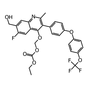 CCOC(=O)OCOc1c(-c2ccc(Oc3ccc(OC(F)(F)F)cc3)cc2)c(C)nc2cc(CO)c(F)cc12